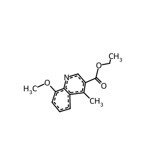 CCOC(=O)c1cnc2c(OC)cccc2c1C